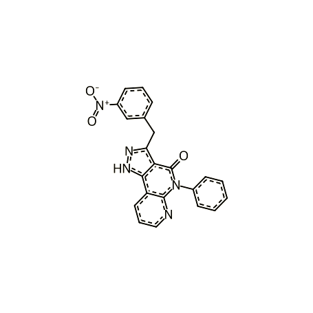 O=c1c2c(Cc3cccc([N+](=O)[O-])c3)n[nH]c2c2cccnc2n1-c1ccccc1